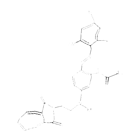 CCC(=O)Nc1cc(N(CC)CCN2C(=O)c3ccccc3C2=O)ccc1/N=N/c1c(Cl)cc([N+](=O)[O-])cc1[N+](=O)[O-]